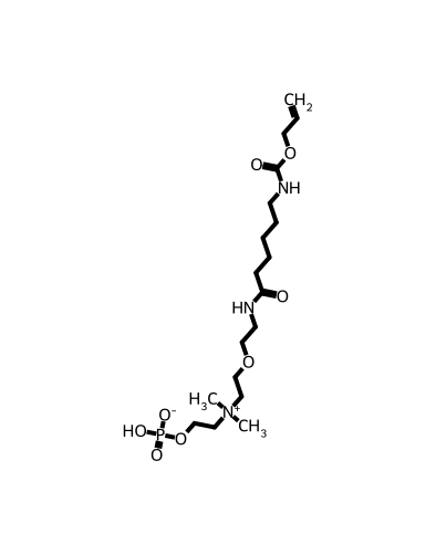 C=CCOC(=O)NCCCCCC(=O)NCCOCC[N+](C)(C)CCOP(=O)([O-])O